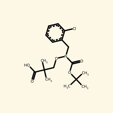 CC(C)(C)OC(=O)N(Cc1ccccc1Cl)OCC(C)(C)C(=O)O